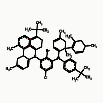 CC1=CC=C(N(C2=CC=C(C(C)(C)C)CC2)c2cc(Cl)cc(N(C3=CC=C(C)CC3(C)C3=C(C)CC(C)C=C3)c3ccc(C(C)(C)C)cc3)c2Br)C(c2ccccc2C)C1